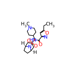 CCc1cc(C(=O)N[C@H]2C[C@H]3CC[C@@H](C2)N3S(=O)(=O)CC2CCN(C)CC2)no1